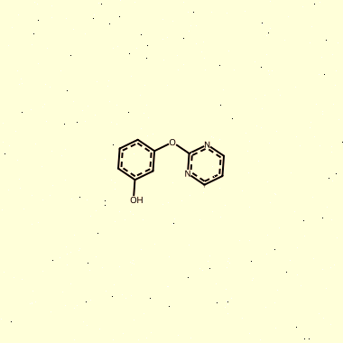 Oc1cccc(Oc2n[c]ccn2)c1